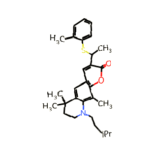 Cc1ccccc1SC(C)c1cc2cc3c(c(C)c2oc1=O)N(CCC(C)C)CCC3(C)C